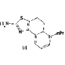 CCCN1C=CC=C2c3nc(N)sc3CCC21.I